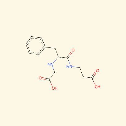 O=C(O)CCNC(=O)C(Cc1ccccc1)NCC(=O)O